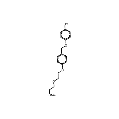 COCCOCCOc1ccc(COc2ccc(C(C)C)cc2)cc1